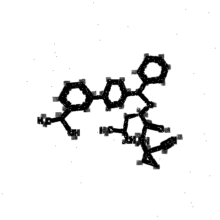 CC(C)C[C@H](OC(c1ccccc1)c1ccc(-c2cccc(C(C)O)c2)cc1)C(=O)NC1(C#N)CC1